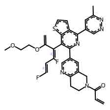 C=CC(=O)N1CCc2ncc(-c3nc(-c4cnnc(C)c4)c4ccsc4c3/C(C(=C)OCCOC)=C(F)/C=C/F)cc2C1